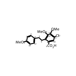 COc1ccc(CCc2c(C(=O)O)cc(Cl)c(OC)c2OC)cc1